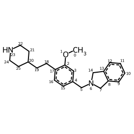 COc1cc(CN2Cc3ccccc3C2)ccc1CCC1CCNCC1